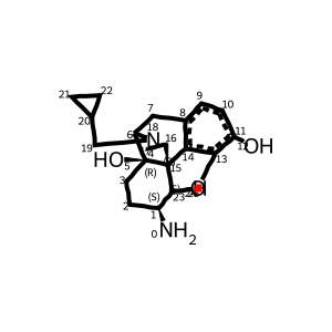 N[C@H]1CC[C@]2(O)C3Cc4ccc(O)c5c4[C@]2(CCN3CC2CC2)[C@@H]1O5